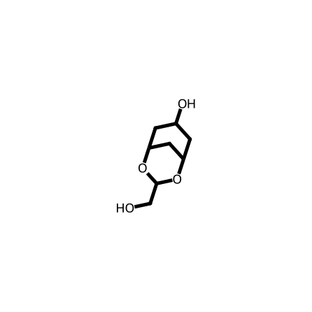 OCC1OC2CC(O)CC(C2)O1